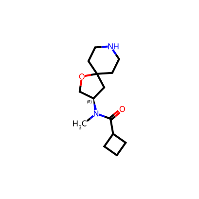 CN(C(=O)C1CCC1)[C@H]1COC2(CCNCC2)C1